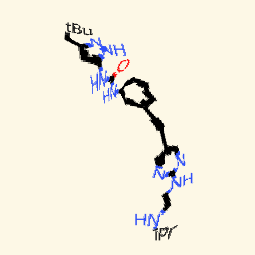 CC(C)NCCNc1ncc(C#Cc2cccc(NC(=O)Nc3cc(CC(C)(C)C)n[nH]3)c2)cn1